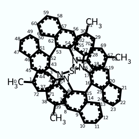 Cc1ccc(N2c3ccc4ccccc4c3-c3c(ccc4ccccc34)N(c3ccc(C)cc3)[Si]23N(c2ccc(C)cc2)c2ccc4ccccc4c2-c2c(ccc4ccccc24)N3c2ccc(C)cc2)cc1